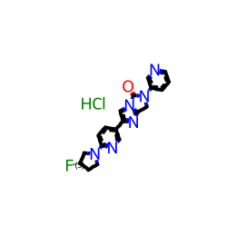 Cl.O=C1N(c2cccnc2)Cc2nc(-c3ccc(N4CC[C@H](F)C4)nc3)cn21